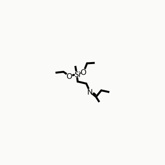 CCO[Si](C)(CCN=C(C)CC)OCC